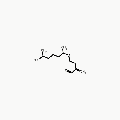 C=C(C=O)CCOC(C)CCCC(C)C